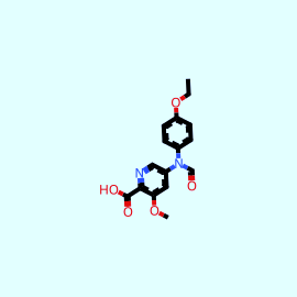 CCOc1ccc(N(C=O)c2cnc(C(=O)O)c(OC)c2)cc1